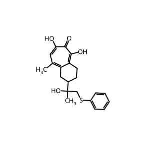 Cc1cc(O)c(=O)c(O)c2c1CC(C(C)(O)CSc1ccccc1)CC2